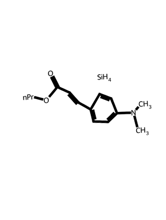 CCCOC(=O)C=Cc1ccc(N(C)C)cc1.[SiH4]